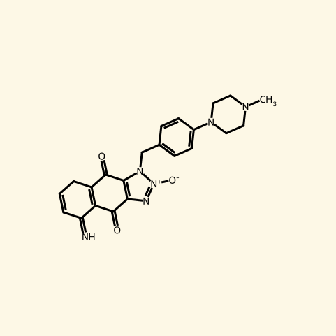 CN1CCN(c2ccc(Cn3c4c(n[n+]3[O-])C(=O)C3=C(CC=CC3=N)C4=O)cc2)CC1